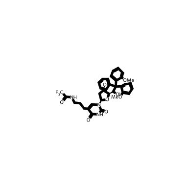 COc1ccccc1C(c1ccccc1)(c1ccccc1OC)C(O)[C@H]1O[C@@H](n2cc(CCCNC(=O)C(F)(F)F)c(=O)[nH]c2=O)C[C@@H]1O